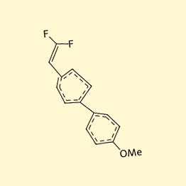 COc1ccc(-c2ccc(C=C(F)F)cc2)cc1